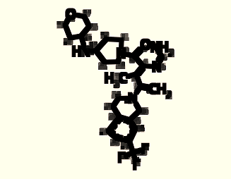 C=C(/C(C)=C(\N=C/N)C(=O)N1CCC(NC2CCOCC2)CC1)N1CCc2ccc(C(F)(F)F)cc2C1